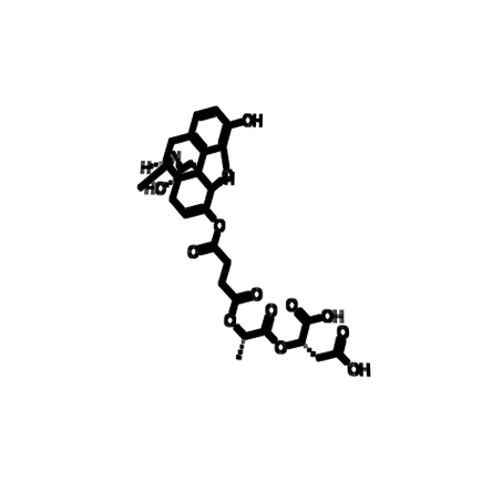 C[C@H](OC(=O)CCC(=O)OC1=CC[C@@]2(O)[C@H]3Cc4ccc(O)c5c4[C@@]2(CCN3C)[C@H]1O5)C(=O)O[C@@H](CC(=O)O)C(=O)O